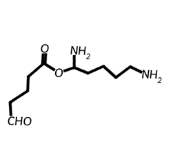 NCCCCC(N)OC(=O)CCCC=O